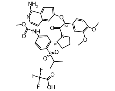 COC(=O)Nc1ccc(S(=O)(=O)C(C)C)c([C@H]2CCCN2C(=O)[C@@H](Oc2ccc3c(N)nccc3c2)c2ccc(OC)c(OC)c2)c1.O=C(O)C(F)(F)F